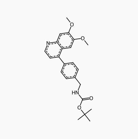 COc1cc2nccc(-c3ccc(CNC(=O)OC(C)(C)C)cc3)c2cc1OC